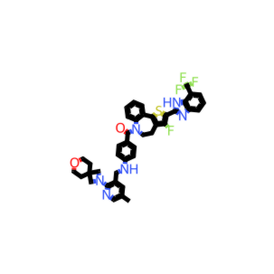 Cc1cnc(N2CC3(CCOCC3)C2)c(CNc2ccc(C(=O)N3CCc4c(sc(-c5nc6cccc(C(F)(F)F)c6[nH]5)c4F)-c4ccccc43)cc2)c1